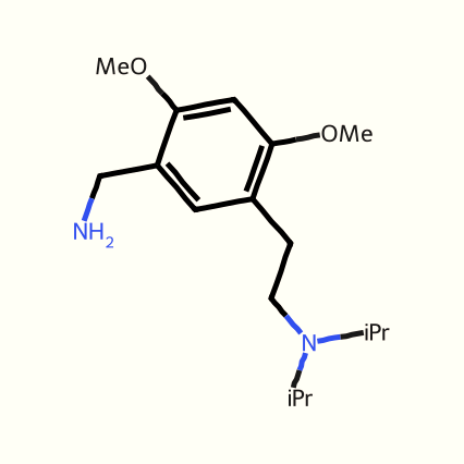 COc1cc(OC)c(CCN(C(C)C)C(C)C)cc1CN